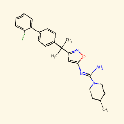 CC1CCN(C(N)=Nc2cc(C(C)(C)c3ccc(-c4ccccc4F)cc3)no2)CC1